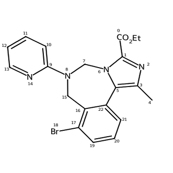 CCOC(=O)c1nc(C)c2n1CN(c1ccccn1)Cc1c(Br)cccc1-2